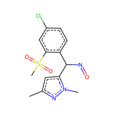 Cc1cc(C(N=O)c2ccc(Cl)cc2S(C)(=O)=O)n(C)n1